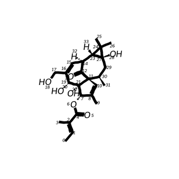 C/C=C(\C)C(=O)O[C@H]1C(C)=C[C@]23C(=O)[C@@H](C=C(CO)[C@@H](O)[C@]12O)[C@@H]1C(C)(C)[C@]1(O)C[C@H]3C